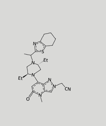 CC[C@H]1CN(C(C)c2nc3c(s2)CCCC3)[C@H](CC)CN1c1cc(=O)n(C)c2cn(CC#N)nc12